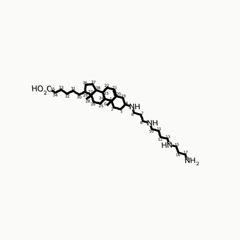 CC12CCC(NCCCNCCCCNCCCN)CC1=CCC1C2CCC2(C)C(CCCCCC(=O)O)CCC12